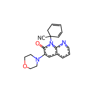 N#CC1(n2c(=O)c(N3CCOCC3)cc3cccnc32)C=CC=CC1